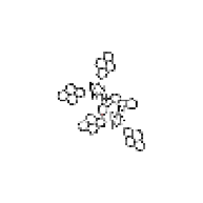 c1cc2ccc3cc(-c4nc(-c5cc6ccc7cccc8ccc(c5)c6c78)nc(-n5c6ccccc6c6c5ccc5c7ccccc7n(-c7nc(-c8cc9ccc%10cccc%11ccc(c8)c9c%10%11)nc(-c8cc9ccc%10cccc%11ccc(c8)c9c%10%11)n7)c56)n4)cc4ccc(c1)c2c34